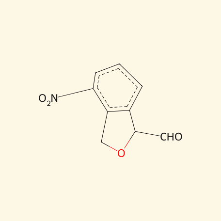 O=CC1OCc2c1cccc2[N+](=O)[O-]